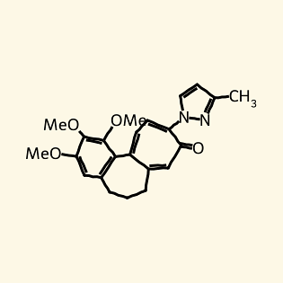 COc1cc2c(c(OC)c1OC)-c1ccc(-n3ccc(C)n3)c(=O)cc1CCC2